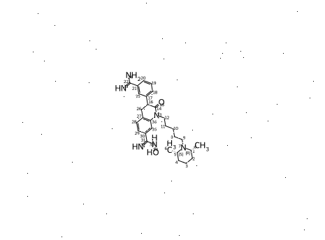 C[C@@H]1CCC[C@H](C)N1CCCCCN1C(=O)C(c2cccc(C(=N)N)c2)Cc2ccc(C(=N)NO)cc21